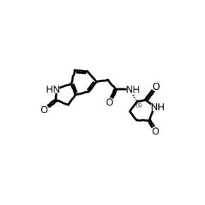 O=C1CC[C@H](NC(=O)Cc2ccc3c(c2)CC(=O)N3)C(=O)N1